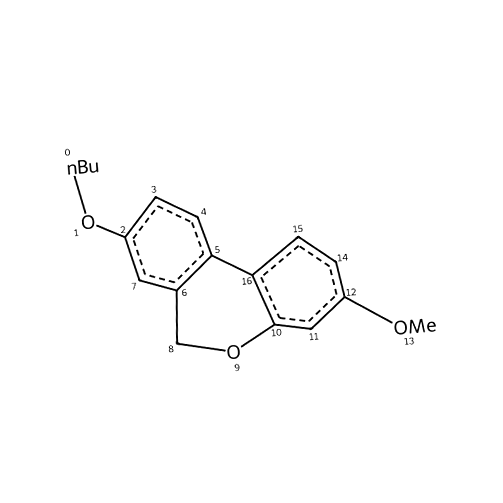 CCCCOc1ccc2c(c1)COc1cc(OC)ccc1-2